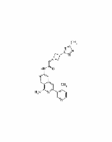 Cc1ccncc1-c1cc2cc(NC(=O)C=C3CC(c4cn(C)nn4)C3)ncc2c(N)n1